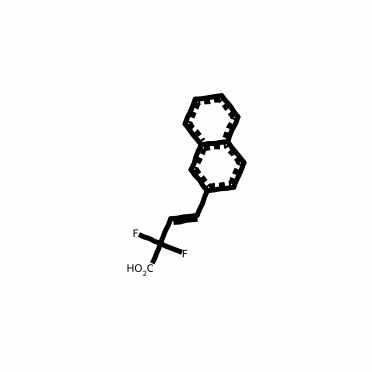 O=C(O)C(F)(F)C=Cc1ccc2ccccc2c1